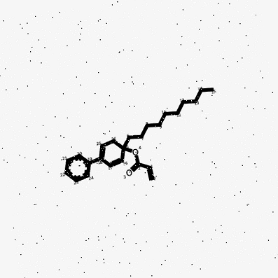 C=CC(=O)OC1(CCCCCCCCCC)C=CC(c2ccccc2)=CC1